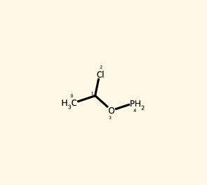 CC(Cl)OP